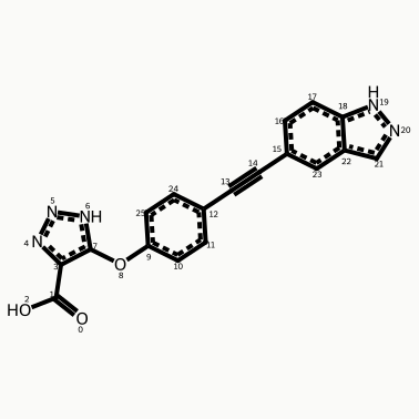 O=C(O)c1nn[nH]c1Oc1ccc(C#Cc2ccc3[nH]ncc3c2)cc1